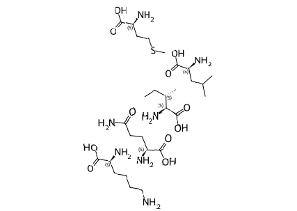 CC(C)C[C@H](N)C(=O)O.CC[C@H](C)[C@H](N)C(=O)O.CSCC[C@H](N)C(=O)O.NC(=O)CC[C@H](N)C(=O)O.NCCCC[C@H](N)C(=O)O